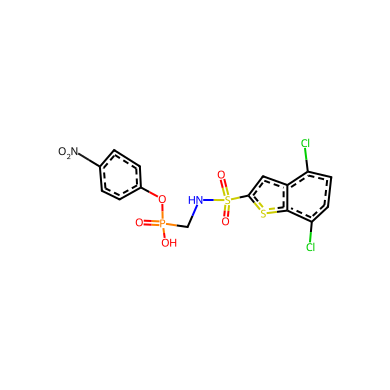 O=[N+]([O-])c1ccc(OP(=O)(O)CNS(=O)(=O)c2cc3c(Cl)ccc(Cl)c3s2)cc1